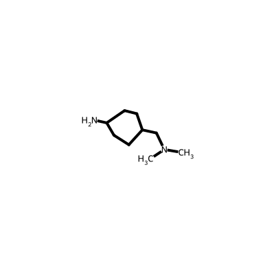 CN(C)CC1CCC(N)CC1